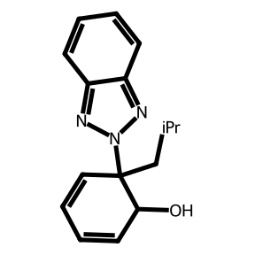 CC(C)CC1(n2nc3ccccc3n2)C=CC=CC1O